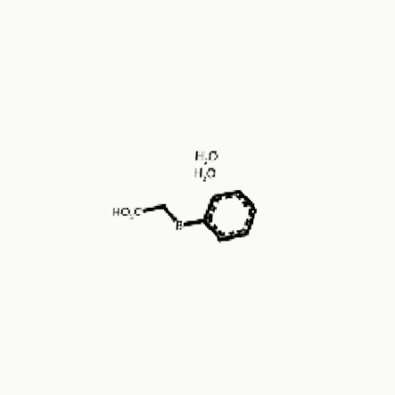 O.O.O=C(O)C[B]c1ccccc1